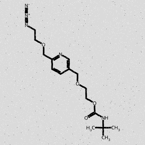 CC(C)(C)NC(=O)OCCOCc1ccc(COCCN=[N+]=[N-])nc1